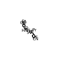 CCS(=O)(=O)c1ccc(CC(=O)Nc2nc3c(s2)CN(Cc2ccc(C#N)c(F)c2)C3C(C)C)cc1